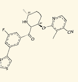 Cc1c(C#N)ccnc1O[C@@H]1CC[C@@H](C)NC1C(=O)c1cc(F)cc(-c2cscn2)c1